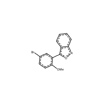 COc1ccc(Br)cc1-c1onc2ccccc12